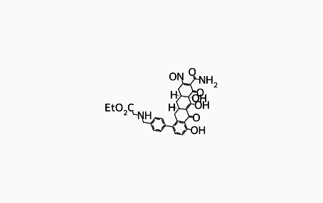 CCOC(=O)CNCc1ccc(-c2ccc(O)c3c2C[C@H]2C[C@H]4CC(N=O)=C(C(N)=O)C(=O)[C@@]4(O)C(O)=C2C3=O)cc1